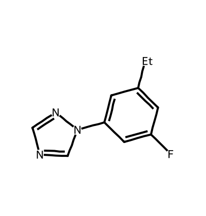 CCc1cc(F)cc(-n2cncn2)c1